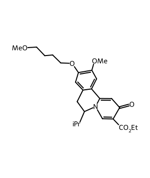 CCOC(=O)c1cn2c(cc1=O)-c1cc(OC)c(OCCCCOC)cc1CC2C(C)C